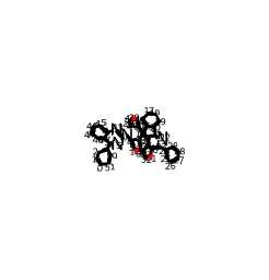 c1ccc(-c2nc(N3c4ccccc4C4(c5ccccc5-c5nc(-c6ccccc6)c6ccccc6c54)c4ccccc43)nc3ccccc23)cc1